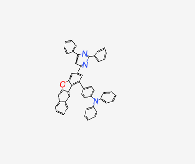 c1ccc(-c2cc(-c3cc(-c4ccc(N(c5ccccc5)c5ccccc5)cc4)c4c(c3)oc3cc5ccccc5cc34)nc(-c3ccccc3)n2)cc1